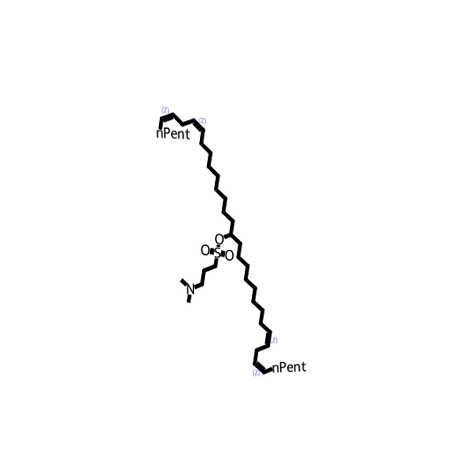 CCCCC/C=C\C/C=C\CCCCCCCCC(CCCCCCCC/C=C\C/C=C\CCCCC)OS(=O)(=O)CCCN(C)C